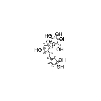 OCC1OC(Oc2cc(O)cc(C=Cc3ccc(O)c(O)c3)c2)C(O)C(O)C1O